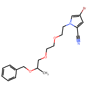 CC(COCCOCCn1cc(Br)cc1C#N)OCc1ccccc1